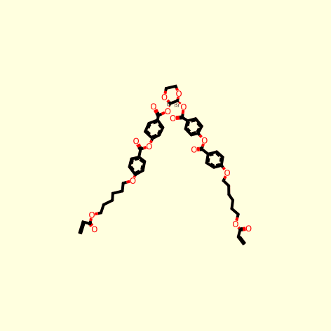 C=CC(=O)OCCCCCCOc1ccc(C(=O)Oc2ccc(C(=O)O[C@@H]3OCCO[C@H]3OC(=O)c3ccc(OC(=O)c4ccc(OCCCCCCOC(=O)C=C)cc4)cc3)cc2)cc1